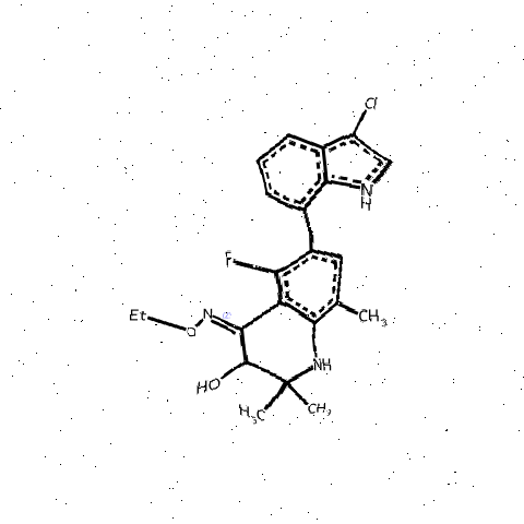 CCO/N=C1/c2c(F)c(-c3cccc4c(Cl)c[nH]c34)cc(C)c2NC(C)(C)C1O